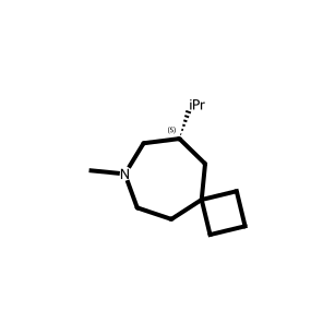 CC(C)[C@H]1CN(C)CCC2(CCC2)C1